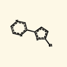 CCc1ccc(-c2cnccn2)s1